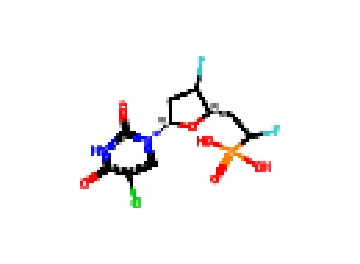 O=c1[nH]c(=O)n([C@@H]2CC(F)[C@H](CC(F)P(=O)(O)O)O2)cc1Cl